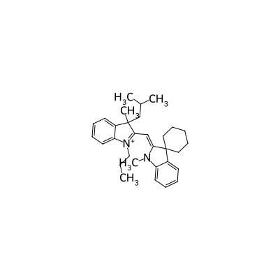 CCC[N+]1=C(C=C2N(C)c3ccccc3C23CCCCC3)C(C)(CC(C)C)c2ccccc21